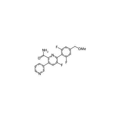 COCc1cc(F)c(-c2nc(C(N)=O)c(-c3cccnc3)cc2F)c(F)c1